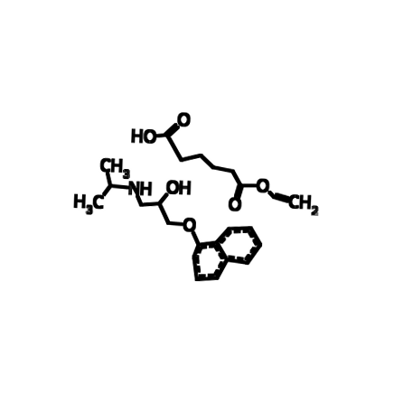 C=COC(=O)CCCCC(=O)O.CC(C)NCC(O)COc1cccc2ccccc12